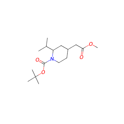 COC(=O)CC1CCN(C(=O)OC(C)(C)C)C(C(C)C)C1